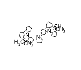 CS1(C)c2ccc(-c3cccc(-c4ccc5c6cccc7c6n(c5c4)-c4ccccc4S7(C)C)n3)cc2-n2c3ccccc3c3cccc1c32